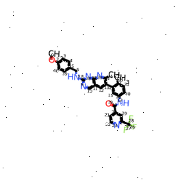 COc1ccc(CNc2ncc3cc(-c4cc(NC(=O)c5ccnc(C(F)(F)F)c5)ccc4C)c(C)nc3n2)cc1